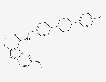 CCc1nc2ccc(OC)cn2c1C(=O)NCc1ccc(N2CCC(c3ccc(F)cc3)CC2)cc1